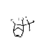 OC1(C(F)(F)F)C2C=CC(C2)C1F